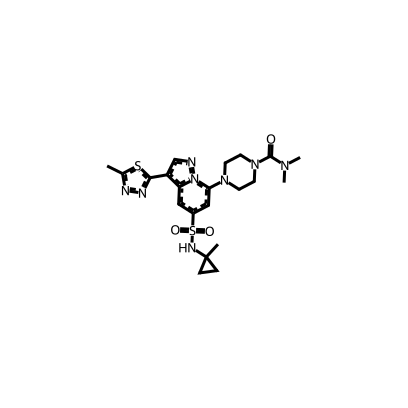 Cc1nnc(-c2cnn3c(N4CCN(C(=O)N(C)C)CC4)cc(S(=O)(=O)NC4(C)CC4)cc23)s1